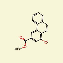 CCCOC(=O)c1cc([O])c2ccc3ccccc3c2c1